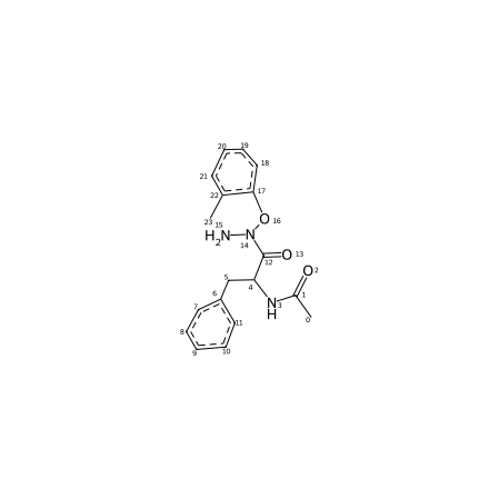 CC(=O)NC(Cc1ccccc1)C(=O)N(N)Oc1ccccc1C